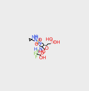 NC1(CNS(=O)(=O)N2C[C@@H](CCCB(O)O)[C@@](N)(C(=O)O)C2)CC1.O=C(O)C(F)(F)F